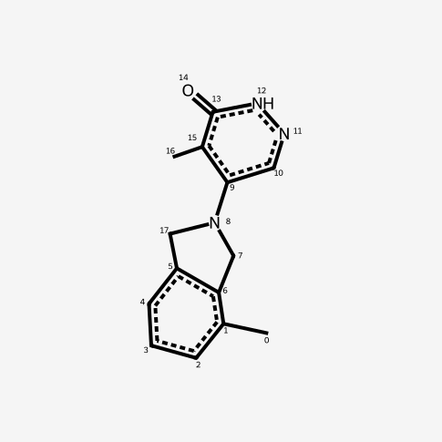 Cc1cccc2c1CN(c1cn[nH]c(=O)c1C)C2